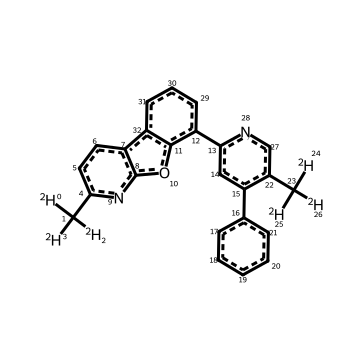 [2H]C([2H])([2H])c1ccc2c(n1)oc1c(-c3cc(-c4ccccc4)c(C([2H])([2H])[2H])cn3)cccc12